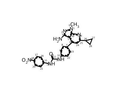 Cn1nc(N)c2c(-c3ccc(NC(=O)Nc4ccc([N+](=O)[O-])cc4)cc3)cc(C3CC3)nc21